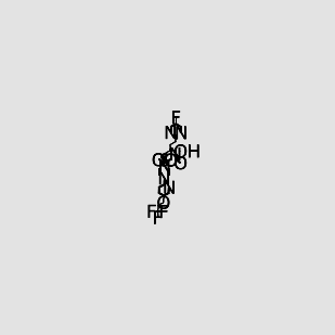 O=CN(O)C(CCc1ncc(F)cn1)CS(=O)(=O)N1CCN(c2ccc(OCC(F)(F)F)cn2)CC1